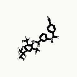 CN(C(=O)c1ccc(C#N)cc1)c1cccc(C(=O)Nc2c(C(F)(F)F)cc(C(F)(C(F)(F)F)C(F)(F)F)cc2C(F)(F)F)c1